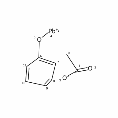 CC(=O)[O-].[Pb+][O]c1ccccc1